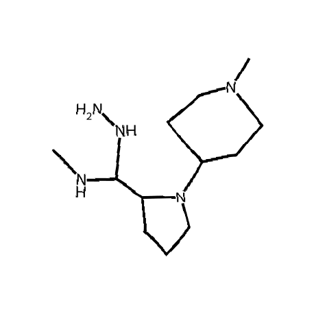 CNC(NN)C1CCCN1C1CCN(C)CC1